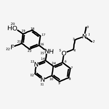 CN(C)CCOc1cccc2ncnc(Nc3ccc(O)c(F)c3)c12